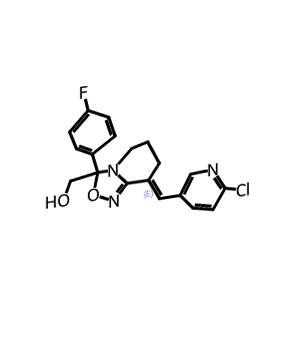 OCC1(c2ccc(F)cc2)ON=C2/C(=C/c3ccc(Cl)nc3)CCCN21